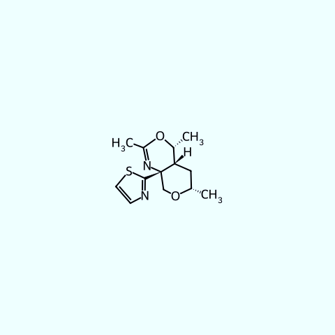 CC1=N[C@@]2(c3nccs3)CO[C@@H](C)C[C@H]2[C@@H](C)O1